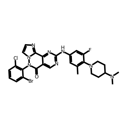 Cc1cc(Nc2ncc3c(=O)n(-c4c(Cl)cccc4Br)n4ccnc4c3n2)cc(F)c1N1CCC(N(C)C)CC1